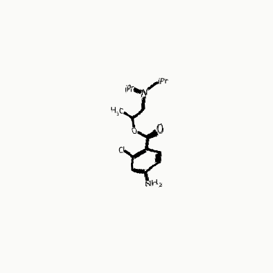 CC(CN(C(C)C)C(C)C)OC(=O)c1ccc(N)cc1Cl